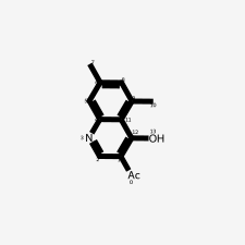 CC(=O)c1cnc2cc(C)cc(C)c2c1O